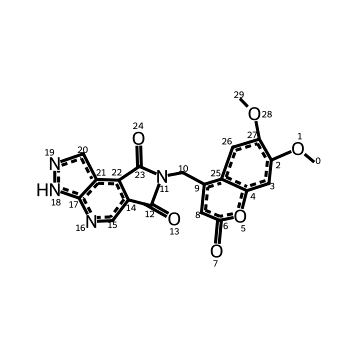 COc1cc2oc(=O)cc(CN3C(=O)c4cnc5[nH]ncc5c4C3=O)c2cc1OC